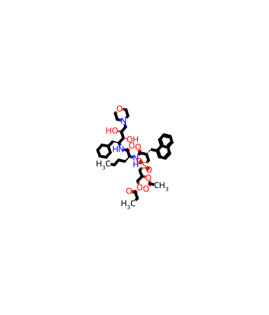 CCCC[C@H](NC(=O)[C@H](Cc1cccc2ccccc12)CS(=O)(=O)CC(COC(=O)CC)OC(C)=O)C(=O)N[C@@H](CC1CCCCC1)[C@@H](O)[C@@H](O)CN1CCOCC1